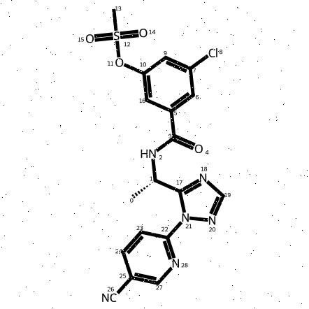 C[C@H](NC(=O)c1cc(Cl)cc(OS(C)(=O)=O)c1)c1ncnn1-c1ccc(C#N)cn1